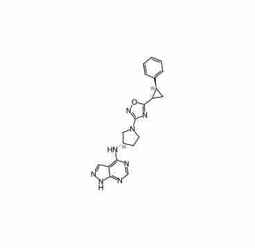 c1ccc([C@H]2CC2c2nc(N3CC[C@H](Nc4ncnc5[nH]ncc45)C3)no2)cc1